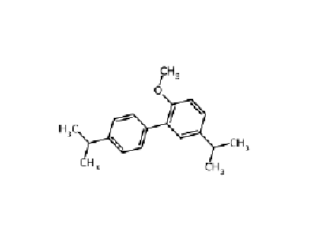 COc1ccc(C(C)C)cc1-c1ccc(C(C)C)cc1